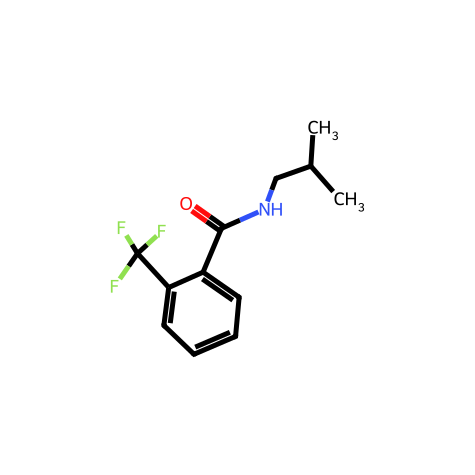 CC(C)CNC(=O)c1ccccc1C(F)(F)F